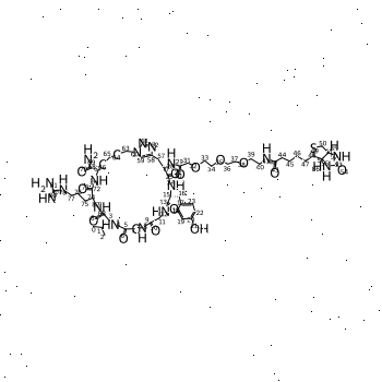 CC(C)[C@H]1NC(=O)CNC(=O)CNC(=O)[C@@H](Cc2ccc(O)cc2)NC(=O)[C@@H](NC(=O)COCCOCCOCCNC(=O)CCCC[C@H]2SC[C@H]3NC(=O)N[C@H]32)Cc2cn(nn2)CCCC[C@@H](C(N)=O)NC(=O)C(CCCNC(=N)N)NC1=O